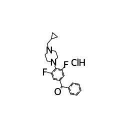 Cl.O=C(c1ccccc1)c1cc(F)c(N2CCN(CC3CC3)CC2)c(F)c1